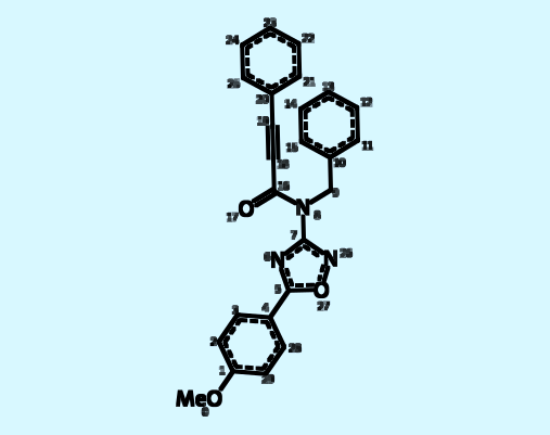 COc1ccc(-c2nc(N(Cc3ccccc3)C(=O)C#Cc3ccccc3)no2)cc1